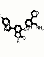 NCc1nc(Nc2ccc(-c3cnc4cc(F)ccn34)c3c2C(=O)NC3)ccc1C1CCOC1